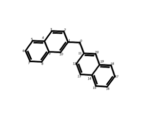 [C](c1ccc2ccccc2c1)c1ccc2ccccc2c1